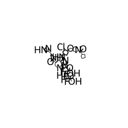 O=C(NCCc1c[nH]cn1)C1=Cc2c(ncnc2Nc2ccc(OC3CCN(C(=O)C4CCCC4)CC3)c(Cl)c2)NCC1.O=C(O)C(F)(F)F.O=C(O)C(F)(F)F